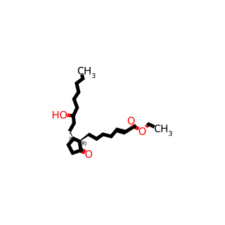 CCCCCCC(O)CC[C@H]1CCC(=O)[C@@H]1CCCCC=CC(=O)OCC